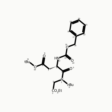 CCCCN(CC(=O)OCC)C(=O)[C@H](CC(=O)OC(C)(C)C)NC(=O)OCc1ccccc1